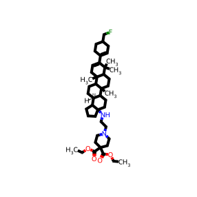 CCOC(=O)C1(C(=O)OCC)CCN(CCNC23CCCC2[C@H]2CCC4C(C)(CCC5C(C)(C)C(C6=CCC(CF)CC6)=CCC54C)C2CC3)CC1